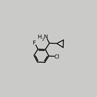 NC(c1c(F)cccc1Cl)C1CC1